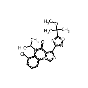 COC(C)(C)c1nc(-c2ncn3c2c(=O)n(C(C)C)c2c(Cl)cccc23)no1